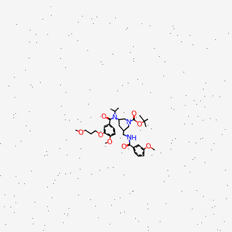 COCCCOc1cc(C(=O)N(C(C)C)C2CC(CNC(=O)c3cccc(OC)c3)CN(C(=O)OC(C)(C)C)C2)ccc1OC